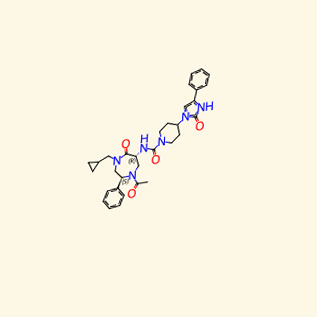 CC(=O)N1C[C@@H](NC(=O)N2CCC(n3cc(-c4ccccc4)[nH]c3=O)CC2)C(=O)N(CC2CC2)C[C@@H]1c1ccccc1